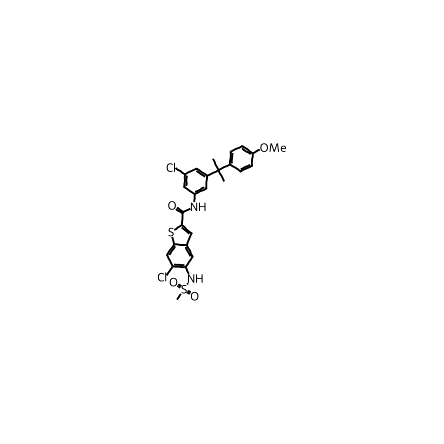 COc1ccc(C(C)(C)c2cc(Cl)cc(NC(=O)c3cc4cc(NS(C)(=O)=O)c(Cl)cc4s3)c2)cc1